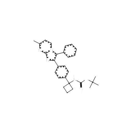 Cc1ccn2c(-c3ccccc3)c(-c3ccc(C4(NC(=O)OC(C)(C)C)CCC4)cc3)nc2n1